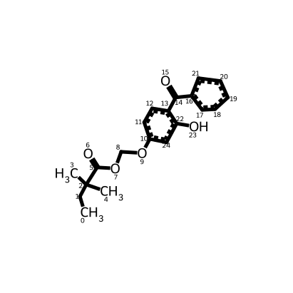 CCC(C)(C)C(=O)OCOc1ccc(C(=O)c2ccccc2)c(O)c1